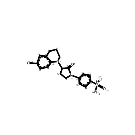 O=C1C(N2CCCc3cc(Cl)ccc32)CCN1c1ccc([SH](=O)(P)Cl)cc1